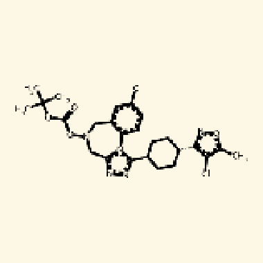 Cc1onc([C@H]2CC[C@H](c3nnc4n3-c3ccc(Cl)cc3CN(OC(=O)OC(C)(C)C)C4)CC2)c1Cl